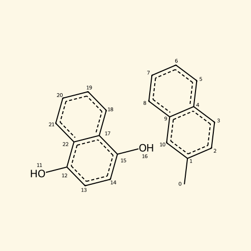 Cc1ccc2ccccc2c1.Oc1ccc(O)c2ccccc12